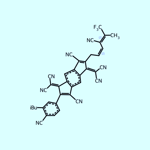 CCC(C)c1cc(C2=C(C#N)c3cc4c(cc3C2=C(C#N)C#N)C(C#N)=C(C/C=C\C(C#N)=C(/C)C(F)(F)F)C4=C(C#N)C#N)ccc1C#N